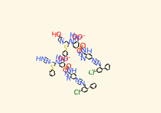 O=[N+]([O-])c1cc(S(=O)(=O)Nc2ncnc3cc(N4CCN(Cc5cc(Cl)ccc5-c5ccccc5)CC4)ccc23)ccc1NC(CCN1CCC(O)C1)CSc1ccccc1.O=[N+]([O-])c1cc(S(=O)(=O)Nc2ncnc3cc(N4CCN(Cc5cc(Cl)ccc5-c5ccccc5)CC4)ccc23)ccc1NC(CCN1CCNCC1)CSc1ccccc1